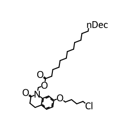 CCCCCCCCCCCCCCCCCCCCCC(=O)OCN1C(=O)CCc2ccc(OCCCCCl)cc21